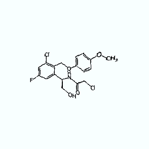 COc1ccc(OCc2c(Cl)cc(F)cc2[C@H](CO)NC(=O)CCl)cc1